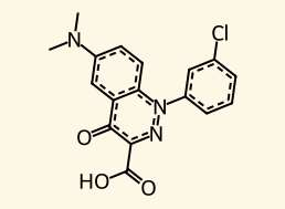 CN(C)c1ccc2c(c1)c(=O)c(C(=O)O)nn2-c1cccc(Cl)c1